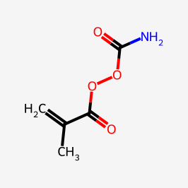 C=C(C)C(=O)OOC(N)=O